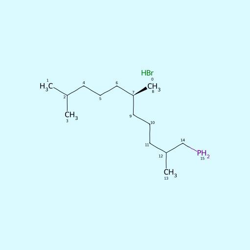 Br.CC(C)CCC[C@@H](C)CCCC(C)CP